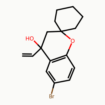 C=CC1(O)CC2(CCCCC2)Oc2ccc(Br)cc21